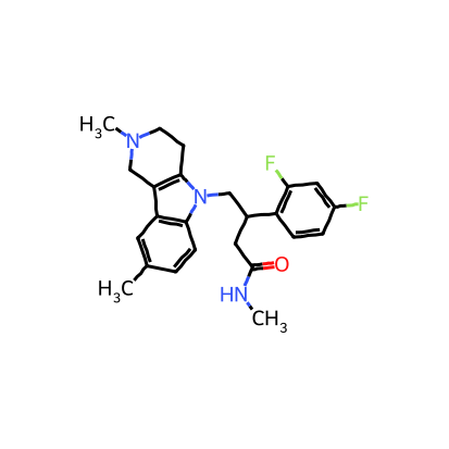 CNC(=O)CC(Cn1c2c(c3cc(C)ccc31)CN(C)CC2)c1ccc(F)cc1F